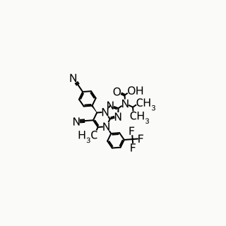 CC1=C(C#N)[C@@H](c2ccc(C#N)cc2)n2nc(N(C(=O)O)C(C)C)nc2N1c1cccc(C(F)(F)F)c1